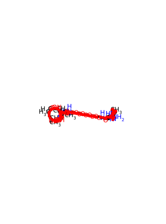 COc1cccc2cc(-c3nc([C@H]4CC[C@H](C(=O)CCNCCOCCOCCOCCOCCOCCOCCOCCOCCOCCNC(=O)O[C@@H]5CC[C@@H](C[C@@H](N)[C@@H]6CC[C@H](C)/C=C(\C)[C@@H](O)[C@@H](O)C(=O)[C@H](C)C[C@H](C)/C=C/C=C/C=C(\C)[C@@H](OC)C[C@@H]7CCC[C@@](O)(O7)C(=O)C(=O)N7CCCC[C@H]7C(=O)O6)C[C@H]5OC)CC4)n4ncnc(N)c34)[nH]c12